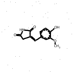 COc1cc(C=C2CC(=O)NC2=O)ccc1O